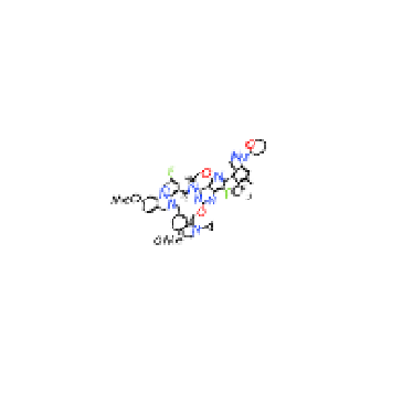 COc1ccc(CN(Cc2ccc(OC)cc2)c2ncc(F)cc2[C@@H](C)N2c3nc(OC[C@@H]4CCCN4C4CC4)nc4c(F)c(-c5c(C(F)(F)F)c(C)cc6c5cnn6C5CCCCO5)nc(c34)OC[C@@H]2C)cc1